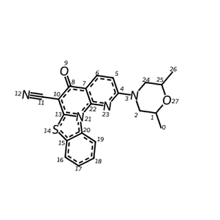 CC1CN(c2ccc3c(=O)c(C#N)c4sc5ccccc5n4c3n2)CC(C)O1